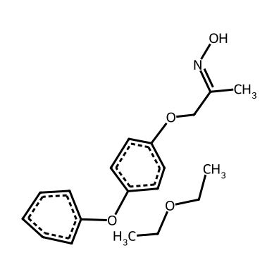 CC(COc1ccc(Oc2ccccc2)cc1)=NO.CCOCC